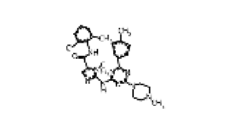 Cc1ccc(-c2nc(Nc3ncc(C(=O)Nc4c(C)cccc4Cl)n3C)nc(N3CCN(C)CC3)n2)cc1